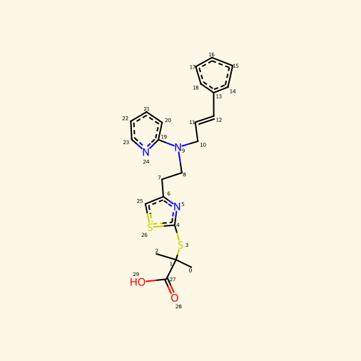 CC(C)(Sc1nc(CCN(CC=Cc2ccccc2)c2ccccn2)cs1)C(=O)O